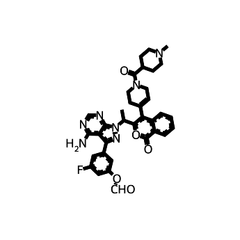 CC(c1oc(=O)c2ccccc2c1C1=CCN(C(=O)C2CCN(C)CC2)CC1)n1nc(-c2cc(F)cc(OC=O)c2)c2c(N)ncnc21